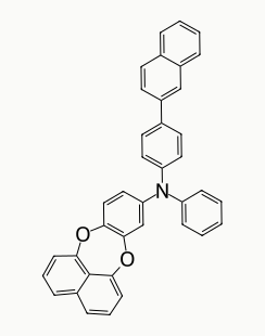 c1ccc(N(c2ccc(-c3ccc4ccccc4c3)cc2)c2ccc3c(c2)Oc2cccc4cccc(c24)O3)cc1